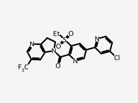 CCS(=O)(=O)c1cc(-c2cc(Cl)ccn2)cnc1C(=O)N1CCc2ncc(C(F)(F)F)cc21